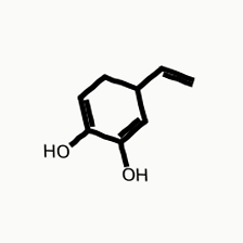 C=CC1C=C(O)C(O)=CC1